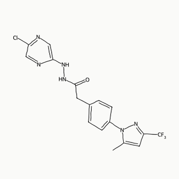 Cc1cc(C(F)(F)F)nn1-c1ccc(CC(=O)NNc2cnc(Cl)cn2)cc1